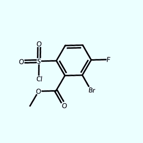 COC(=O)c1c(S(=O)(=O)Cl)ccc(F)c1Br